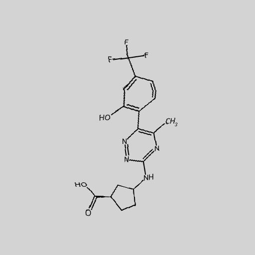 Cc1nc(NC2CC[C@@H](C(=O)O)C2)nnc1-c1ccc(C(F)(F)F)cc1O